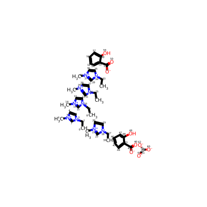 CCn1cc[n+](C)c1.CCn1cc[n+](C)c1.CCn1cc[n+](C)c1.CCn1cc[n+](C)c1.CCn1cc[n+](C)c1.O=C([O-])c1ccccc1O.O=C([O-])c1ccccc1O.[O-]B([O-])[O-]